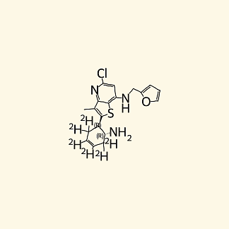 [2H]C1=C([2H])C([2H])([2H])[C@@H](c2sc3c(NCc4ccco4)cc(Cl)nc3c2C)[C@H](N)C1([2H])[2H]